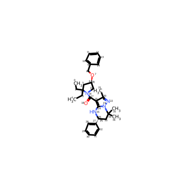 CCC1(CC)C[C@@H](OCc2ccccc2)CN1C(=O)c1c(C)nn2c1N[C@@H](c1ccccc1)CC2(C)C